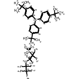 CC(C)(C)c1ccc([S+](c2ccc(C(C)(C)C)cc2)c2ccc(C(C)(C)C)cc2)cc1.O=S(=O)([O-])C(F)(F)C(F)(F)OC(F)(F)C(F)(F)F